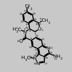 C[C@H]1OC[C@@H](N(C)C(=O)c2ccc3nc(N)c4cnn(C)c4c3c2)c2ccc(C(F)(F)F)cc21